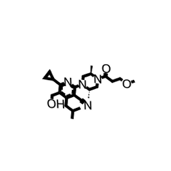 COCCC(=O)N1C[C@H](C)N(c2nc(C3CC3)c(CO)c(CC(C)C)c2C#N)C[C@H]1C